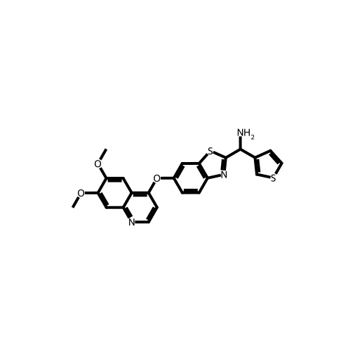 COc1cc2nccc(Oc3ccc4nc(C(N)c5ccsc5)sc4c3)c2cc1OC